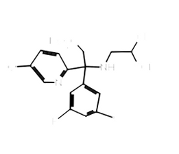 O=C(O)CC(NCC(O)C(F)(F)F)(c1cc(F)cc(C(F)(F)F)c1)c1ccc(Cl)cn1